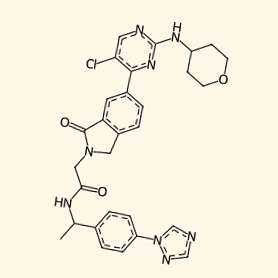 CC(NC(=O)CN1Cc2ccc(-c3nc(NC4CCOCC4)ncc3Cl)cc2C1=O)c1ccc(-n2cncn2)cc1